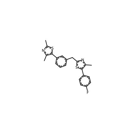 Cc1nc(C)c(-c2cccc(Cc3nc(C)c(-c4ccc(F)cc4)s3)c2)s1